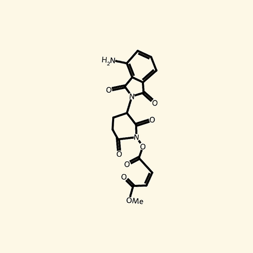 COC(=O)/C=C\C(=O)ON1C(=O)CCC(N2C(=O)c3cccc(N)c3C2=O)C1=O